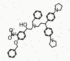 O=[N+]([O-])c1cc([C@@H](O)CN(CCC(c2ccc(N3CCCC3)cc2)c2ccc(N3CCCC3)cc2)Cc2ccccc2)ccc1OCc1ccccc1